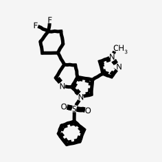 Cn1cc(-c2cn(S(=O)(=O)c3ccccc3)c3c2CC(C2CCC(F)(F)CC2)C=N3)cn1